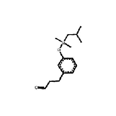 CC(C)C[Si](C)(C)Oc1cccc(CCC=O)c1